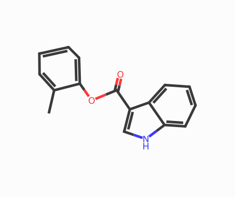 Cc1ccccc1OC(=O)c1c[nH]c2ccccc12